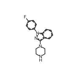 Fc1ccc(-n2nc(N3CCNCC3)c3ccccc32)cc1